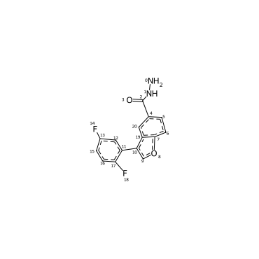 NNC(=O)c1ccc2occ(-c3cc(F)ccc3F)c2c1